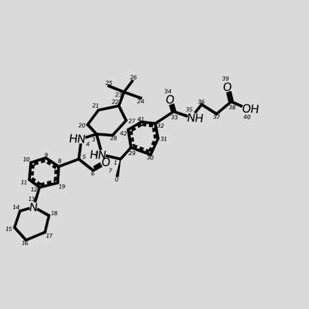 C[C@@H](NC1(NC(C=O)c2cccc(N3CCCCC3)c2)CCC(C(C)(C)C)CC1)c1ccc(C(=O)NCCC(=O)O)cc1